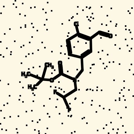 CC(C)(C)OC(=O)N(Cc1ccc(Cl)c(C=O)c1)CC(F)F